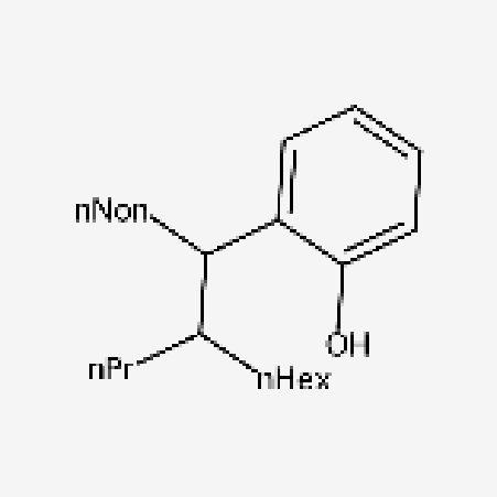 CCCCCCCCCC(c1ccccc1O)C(CCC)CCCCCC